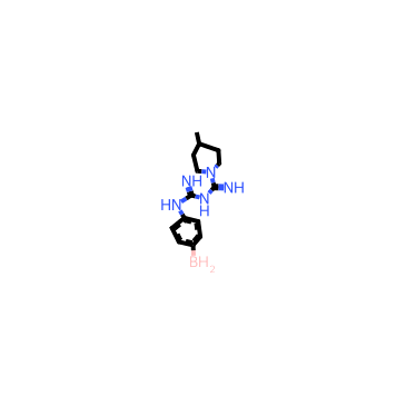 Bc1ccc(NC(=N)NC(=N)N2CCC(C)CC2)cc1